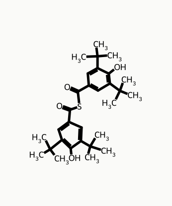 CC(C)(C)c1cc(C(=O)SC(=O)c2cc(C(C)(C)C)c(O)c(C(C)(C)C)c2)cc(C(C)(C)C)c1O